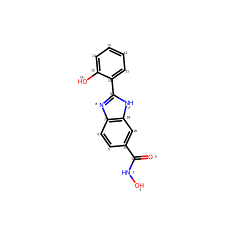 O=C(NO)c1ccc2nc(-c3ccccc3O)[nH]c2c1